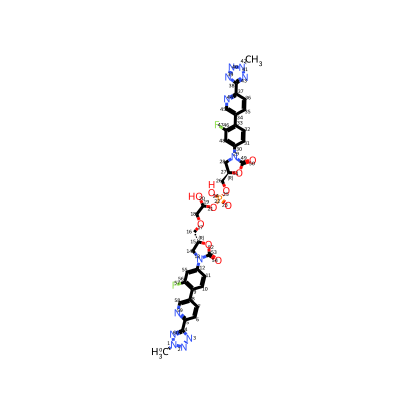 Cn1nnc(-c2ccc(-c3ccc(N4C[C@H](COCC(O)OP(=O)(O)OC[C@H]5CN(c6ccc(-c7ccc(-c8nnn(C)n8)nc7)c(F)c6)C(=O)O5)OC4=O)cc3F)cn2)n1